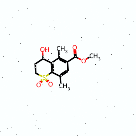 COC(=O)c1cc(C)c2c(c1C)C(O)CCS2(=O)=O